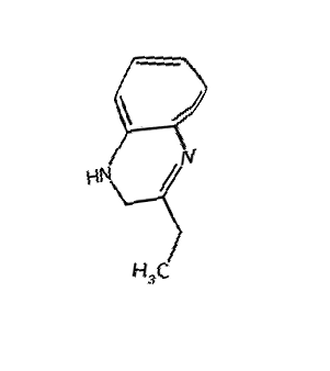 CCC1=Nc2ccccc2NC1